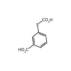 O=C(O)Sc1cccc(C(=O)O)c1